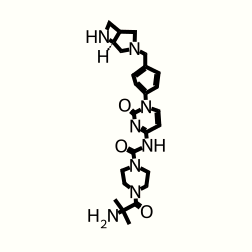 CC(C)(N)C(=O)N1CCN(C(=O)Nc2ccn(-c3ccc(CN4CC5CN[C@@H]5C4)cc3)c(=O)n2)CC1